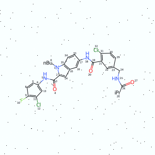 CCCCn1c(C(=O)Nc2ccc(F)c(Cl)c2)cc2cc(NC(=O)c3cc(CNC(=O)C(C)C)ccc3Cl)ccc21